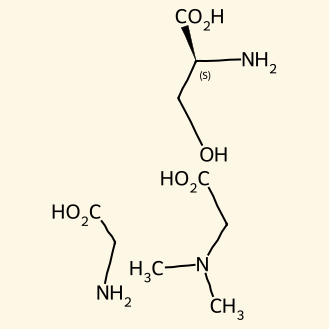 CN(C)CC(=O)O.NCC(=O)O.N[C@@H](CO)C(=O)O